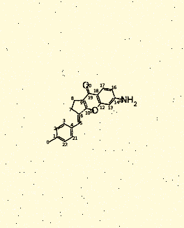 Cc1ccc(/C=C2\CCc3c2oc2cc(N)ccc2c3=O)cc1